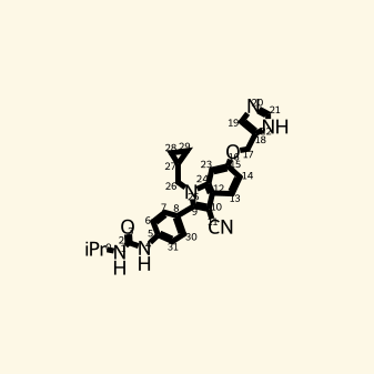 CC(C)NC(=O)Nc1ccc(-c2c(C#N)c3ccc(OCc4cnc[nH]4)cc3n2CC2CC2)cc1